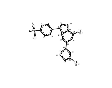 CS(=O)(=O)c1ccc(-c2cnc3c(C(F)(F)F)cc(-c4cncc(C(F)(F)F)c4)cn23)cc1